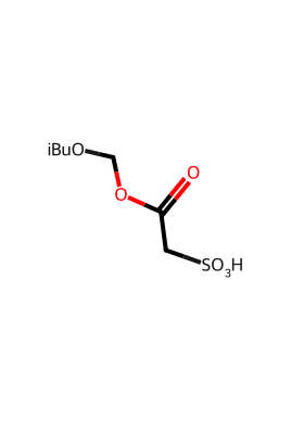 CC(C)COCOC(=O)CS(=O)(=O)O